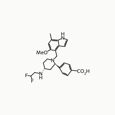 COc1cc(C)c2[nH]ccc2c1CN1CC[C@@H](NCC(F)F)C[C@@H]1c1ccc(C(=O)O)cc1